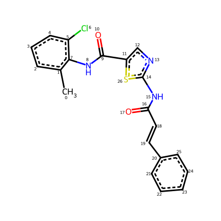 Cc1cccc(Cl)c1NC(=O)c1cnc(NC(=O)C=Cc2ccccc2)s1